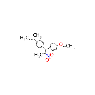 CCOc1ccc(C(c2ccc(C(C)CC)cc2)C(C)[N+](=O)[O-])cc1